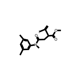 C=C(I)C(CC(=O)N(C)c1cc(C)cc(C)c1)C(=O)OC